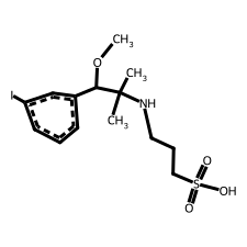 COC(c1cccc(I)c1)C(C)(C)NCCCS(=O)(=O)O